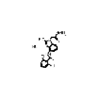 Cl.NNC(=O)Cn1c(C(F)(F)F)nc2c(NC(=O)c3c(Cl)cccc3Cl)cccc21